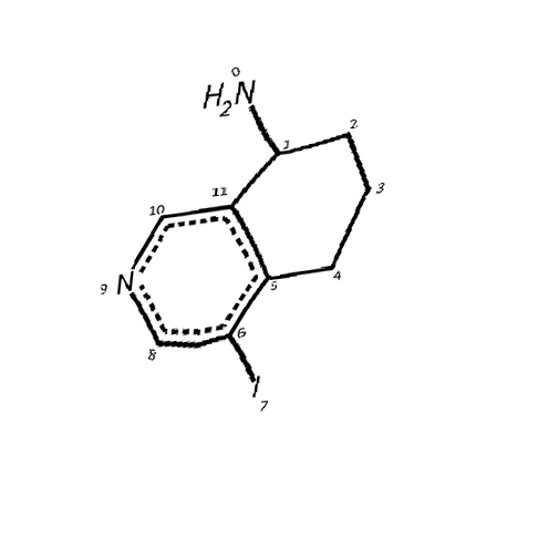 NC1CCCc2c(I)cncc21